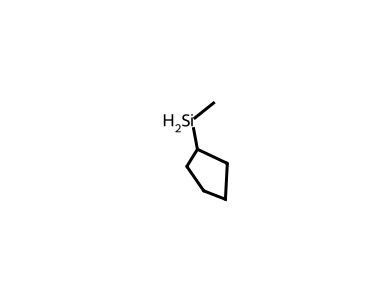 C[SiH2]C1CCCC1